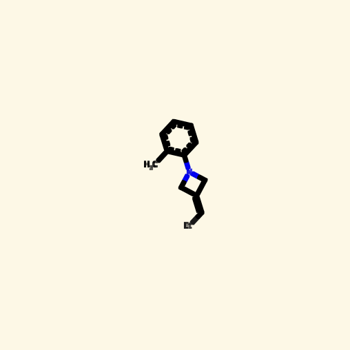 CCC=C1CN(c2ccccc2C)C1